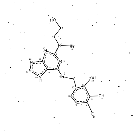 CC(C)N(CCO)c1nc(NCc2ccc(Cl)c(O)c2O)c2[nH]nnc2n1